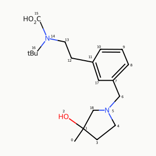 CC1(O)CCN(Cc2cccc(CCN(C(=O)O)C(C)(C)C)c2)C1